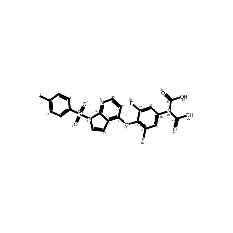 Cc1ccc(S(=O)(=O)n2ccc3c(Oc4c(F)cc(N(C(=O)O)C(=O)O)cc4F)ccnc32)cc1